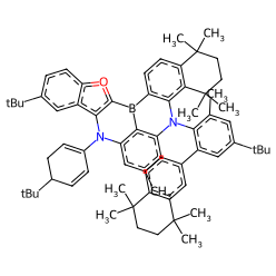 Cc1cc2c3c(c1)N(c1c(C)cc(C(C)(C)C)cc1-c1ccc4c(c1)C(C)(C)CCC4(C)C)c1c(ccc4c1C(C)(C)CCC4(C)C)B3c1oc3ccc(C(C)(C)C)cc3c1N2C1=CCC(C(C)(C)C)C=C1